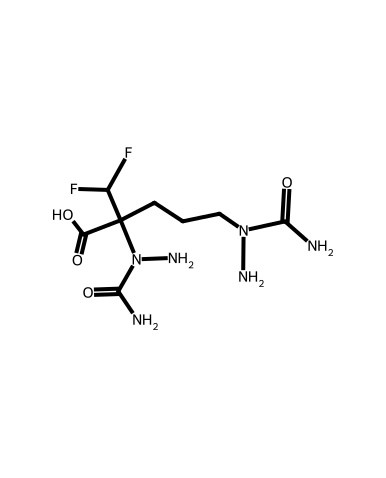 NC(=O)N(N)CCCC(C(=O)O)(C(F)F)N(N)C(N)=O